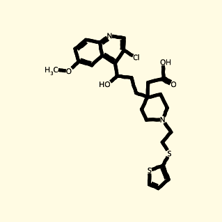 COc1ccc2ncc(Cl)c(C(O)CCC3(CC(=O)O)CCN(CCSc4cccs4)CC3)c2c1